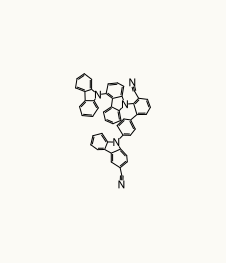 N#Cc1ccc2c(c1)c1ccccc1n2-c1ccc(-c2cccc(C#N)c2-n2c3ccccc3c3c(-n4c5ccccc5c5ccccc54)cccc32)cc1